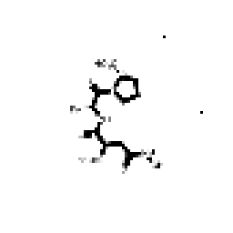 CCCCCC(CC(=O)NO)C(=O)N[C@@H](C(=O)N1CCC[C@H]1C(=O)O)C(C)C